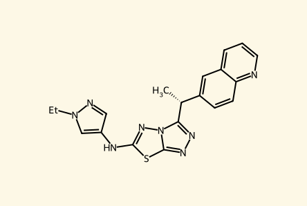 CCn1cc(Nc2nn3c([C@H](C)c4ccc5ncccc5c4)nnc3s2)cn1